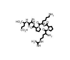 CC(C)C(NC(=O)C1CCCN1C(=O)C(CCCCN)NC(=O)C1CCCN1C(=O)C(N)CCCNC(=N)N)C(=O)NC(CCC(=O)O)C(=O)O